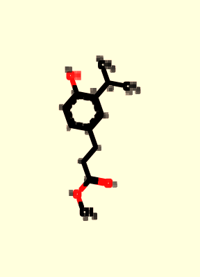 COC(=O)CCc1ccc(O)c(C(C)C)c1